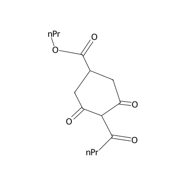 CCCOC(=O)C1CC(=O)C(C(=O)CCC)C(=O)C1